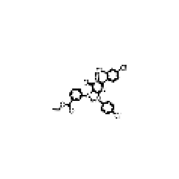 CCOC(=O)c1cccc(N2CN(c3ccc(Cl)cc3)c3nc(-c4ccc(Cl)cc4Cl)[nH]c(=O)c32)c1